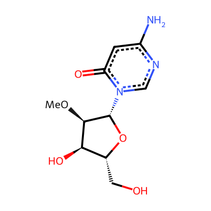 CO[C@@H]1[C@H](O)[C@@H](CO)O[C@H]1n1cnc(N)cc1=O